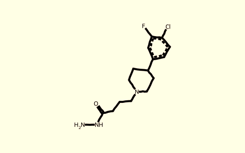 NNC(=O)CCCN1CCC(c2ccc(Cl)c(F)c2)CC1